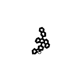 c1ccc2cc(-c3c4ccccc4c(-c4ccc5oc6ccccc6c5c4)c4c3ccc3ccccc34)ccc2c1